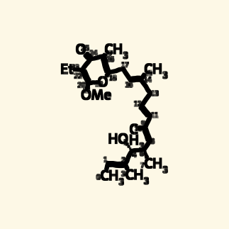 C/C=C(\C)[C@H](O)[C@H](C)/C=C(C)/C=C/C/C(C)=C/Cc1oc(OC)c(CC)c(=O)c1C